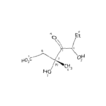 CCC(O)C(=O)[C@](C)(O)CC(=O)O